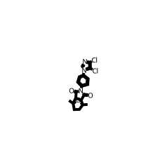 CC12CCC(C)(O1)C1C(=O)N(c3ccc(-n4cnc(Cl)c4Cl)cc3)C(=O)C12